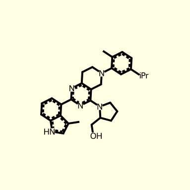 Cc1ccc(C(C)C)cc1N1CCc2nc(-c3cccc4[nH]cc(C)c34)nc(N3CCCC3CO)c2C1